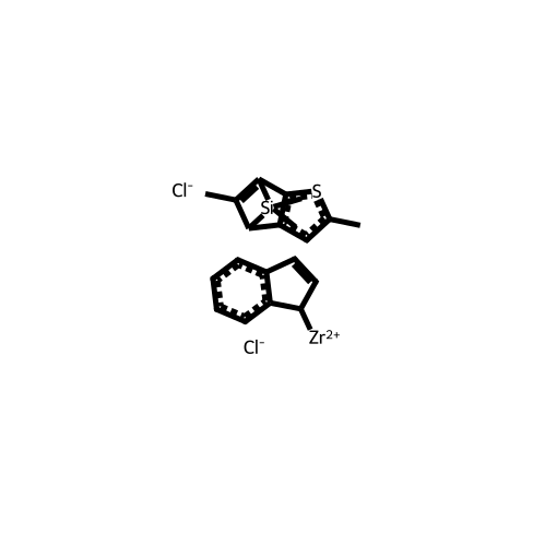 CC1=C2c3sc(C)cc3C1[Si]2(C)C.[Cl-].[Cl-].[Zr+2][CH]1C=Cc2ccccc21